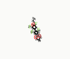 CCCCOc1c(F)cc(-c2c(F)cc([C@H]3OC[C@H](C)CO3)cc2F)cc1F